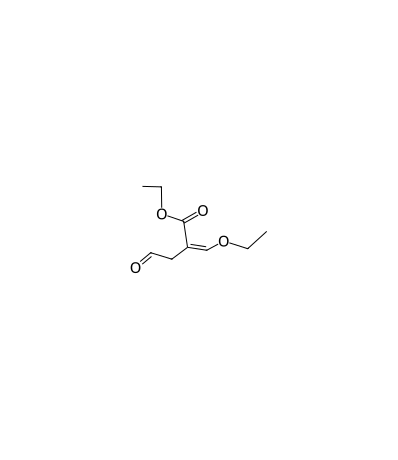 CCOC=C(CC=O)C(=O)OCC